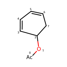 CC(=O)OC1C=CC=CC1